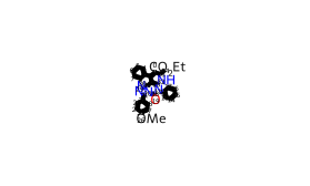 CCOC(=O)C1=C(c2ccccc2)c2c(n(-c3ccccc3)c(=O)n3c(-c4ccc(OC)cc4)nnc23)NC1C